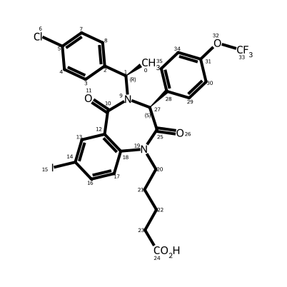 C[C@H](c1ccc(Cl)cc1)N1C(=O)c2cc(I)ccc2N(CCCCC(=O)O)C(=O)[C@@H]1c1ccc(OC(F)(F)F)cc1